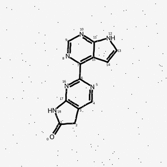 O=C1Cc2cnc(-c3ncnc4[nH]ccc34)nc2N1